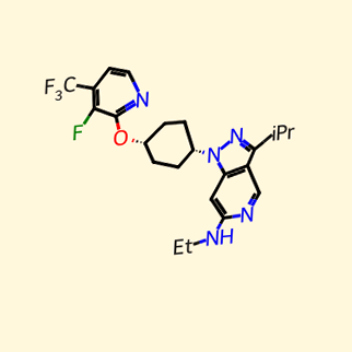 CCNc1cc2c(cn1)c(C(C)C)nn2[C@H]1CC[C@@H](Oc2nccc(C(F)(F)F)c2F)CC1